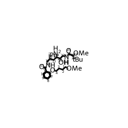 COCCCCOc1ccccc1C(=O)NC[C@@H](C[C@H](N)[C@@H](O)CNC(=O)[C@H](OC)C(C)(C)C)C(C)C